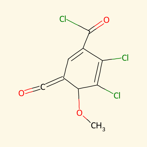 COC1C(=C=O)C=C(C(=O)Cl)C(Cl)=C1Cl